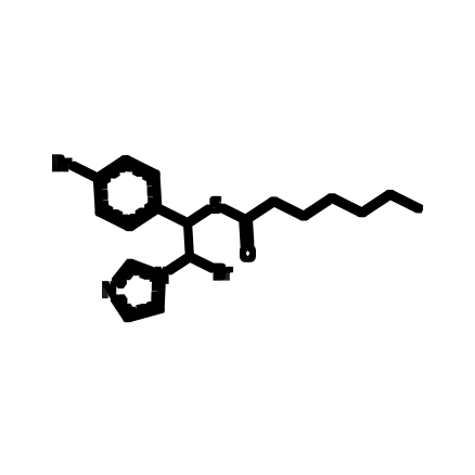 CCCCCCC(=O)SC(c1ccc(Br)cc1)C(Br)n1ccnc1